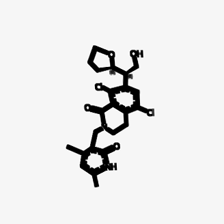 Cc1cc(C)c(CN2CCc3c(Cl)cc([C@H](CO)[C@H]4CCCO4)c(Cl)c3C2=O)c(=O)[nH]1